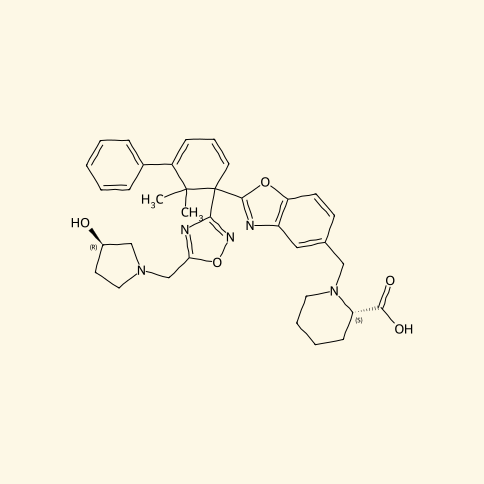 CC1(C)C(c2ccccc2)=CC=CC1(c1noc(CN2CC[C@@H](O)C2)n1)c1nc2cc(CN3CCCC[C@H]3C(=O)O)ccc2o1